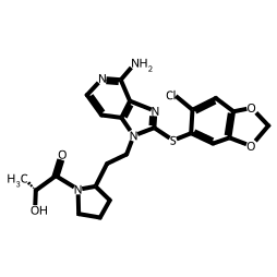 C[C@@H](O)C(=O)N1CCCC1CCn1c(Sc2cc3c(cc2Cl)OCO3)nc2c(N)nccc21